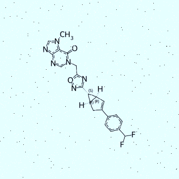 Cn1cnc2ncn(Cc3nc([C@@H]4[C@H]5C=C(c6ccc(C(F)F)cc6)C[C@H]54)no3)c(=O)c21